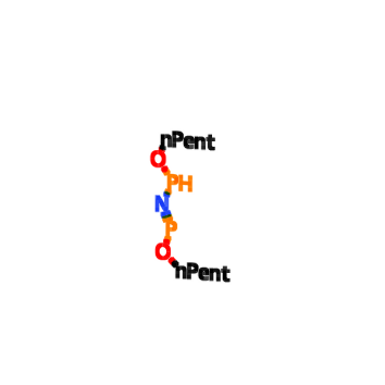 CCCCCOP=NPOCCCCC